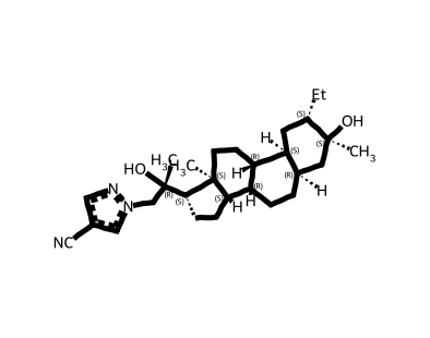 CC[C@H]1C[C@H]2[C@H](CC[C@@H]3[C@@H]2CC[C@@]2(C)[C@H]3CC[C@@H]2[C@@](C)(O)Cn2cc(C#N)cn2)C[C@]1(C)O